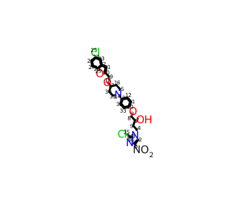 O=[N+]([O-])c1cn(CCC(O)COc2ccc(N3CCC(OCc4cc5cc(Cl)ccc5o4)CC3)cc2)c(Cl)n1